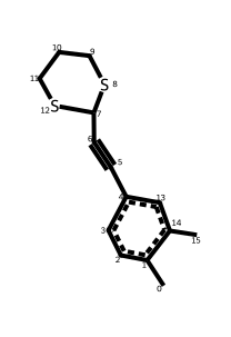 Cc1ccc(C#CC2SCCCS2)cc1C